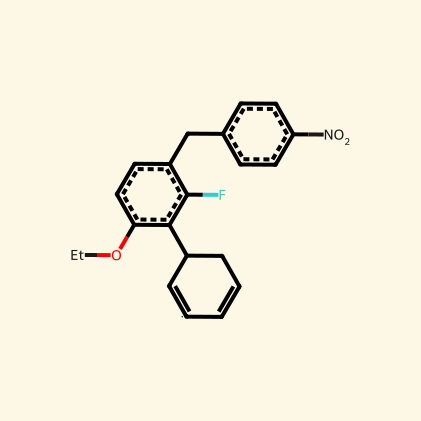 CCOc1ccc(Cc2ccc([N+](=O)[O-])cc2)c(F)c1C1C=[C]C=CC1